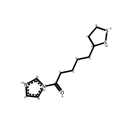 O=C(CCCCC1CCSS1)n1ccnc1